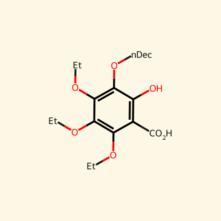 CCCCCCCCCCOc1c(O)c(C(=O)O)c(OCC)c(OCC)c1OCC